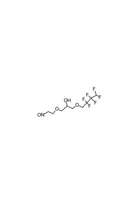 O=NCCOCC(O)COCC(F)(F)C(F)(F)C(F)F